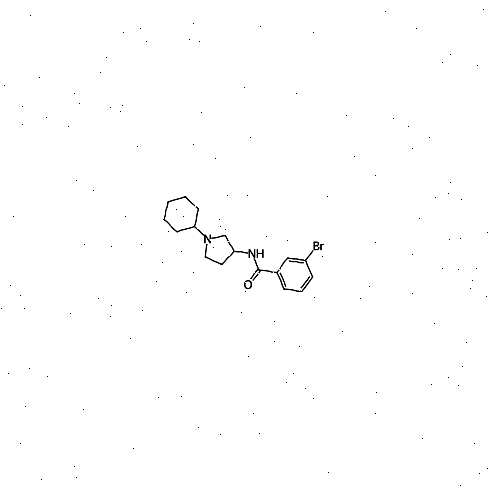 O=C(NC1CCN(C2CCCCC2)C1)c1cccc(Br)c1